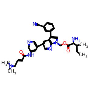 CCC(C)C(N)C(=O)OCn1cc(-c2cccc(C#N)c2)c2cc(-c3cncc(NC(=O)/C=C/CN(C)C)c3)cnc21